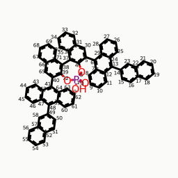 O=P1(O)Oc2c(-c3c4ccccc4c(-c4ccc5ccccc5c4)c4ccccc34)cc3ccccc3c2-c2c(c(-c3c4ccccc4c(-c4ccc5ccccc5c4)c4ccccc34)cc3ccccc23)O1